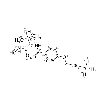 [2H]C([2H])([2H])C#CCOc1ccc(C(=O)N[C@H](C(=O)NO)C(C)(C)N)cc1